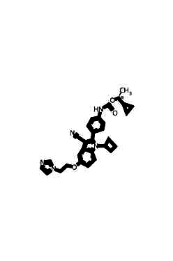 C[C@@H](OC(=O)Nc1ccc(-c2c(C#N)c3cc(OCCn4ccnc4)ccc3n2C2CCC2)cc1)C1CC1